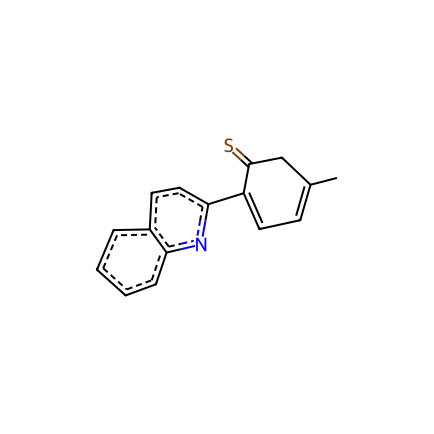 CC1=CC=C(c2ccc3ccccc3n2)C(=S)C1